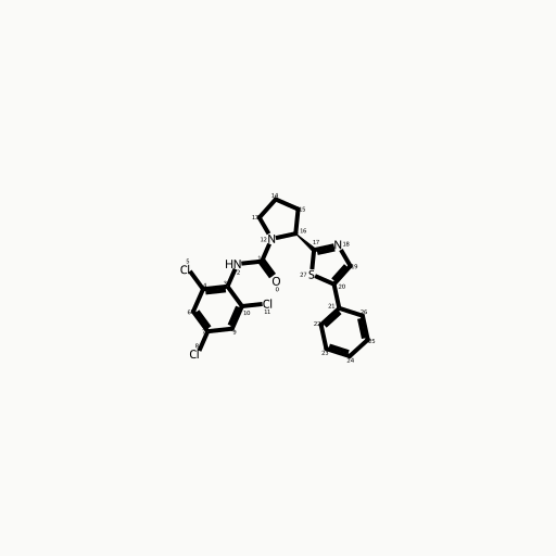 O=C(Nc1c(Cl)cc(Cl)cc1Cl)N1CCC[C@H]1c1ncc(-c2ccccc2)s1